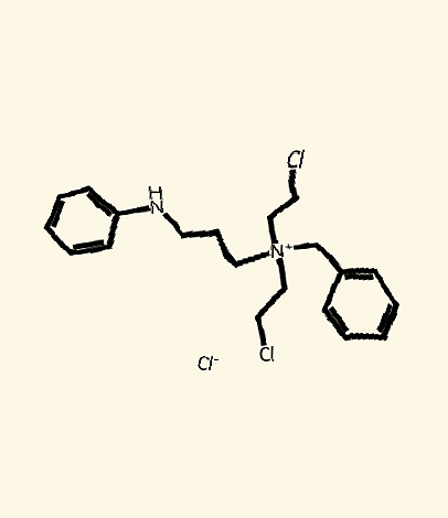 ClCC[N+](CCCl)(CCCNc1ccccc1)Cc1ccccc1.[Cl-]